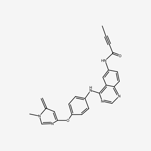 C=C1C=C(Oc2ccc(Nc3ncnc4ccc(NC(=O)C#CC)cc34)cc2)N=CN1C